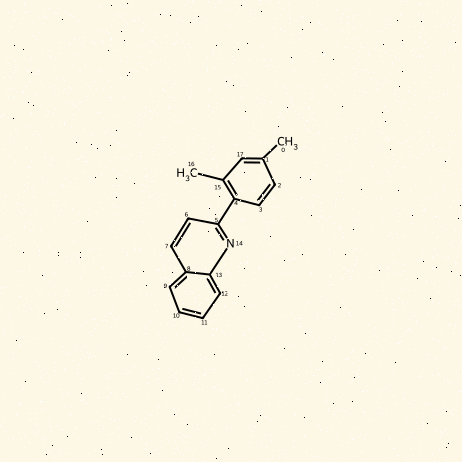 Cc1ccc(-c2ccc3ccccc3n2)c(C)c1